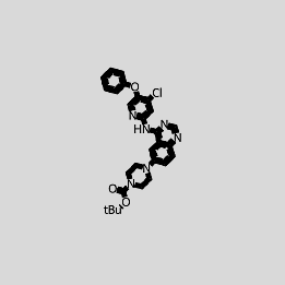 CC(C)(C)OC(=O)N1CCN(c2ccc3ncnc(Nc4cc(Cl)c(Oc5ccccc5)cn4)c3c2)CC1